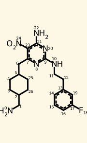 NCC1CCC(Cc2nc(NCCc3cccc(F)c3)nc(N)c2[N+](=O)[O-])CC1